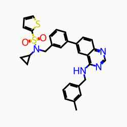 Cc1cccc(CNc2ncnc3ccc(-c4cccc(CN(C5CC5)S(=O)(=O)c5cccs5)c4)cc23)c1